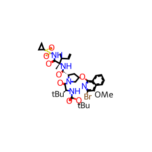 C=CC(C)[C@](C)(NC(=O)[C@@H]1C[C@@H](Oc2nc(Br)c(OC)c3ccccc23)CN1C(=O)[C@@H](NC(=O)OC(C)(C)C)C(C)(C)C)C(=O)NS(=O)(=O)C1CC1